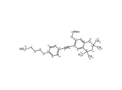 CCCCCCSc1cc2c(cc1C#Cc1cnc(CCCCC(=O)O)cn1)C(C)(C)CC(C)(C)O2